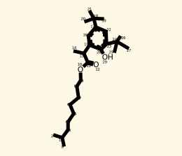 CC(C)CCCCCCCOC(=O)C(C)c1cc(C(C)(C)C)cc(C(C)(C)C)c1O